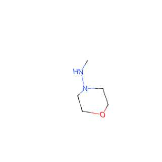 CNN1CCOCC1